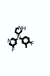 Cc1cc(N(c2cncc(F)c2)[C@H]2CCNC2)ccc1F